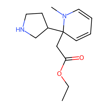 CCOC(=O)CC1(C2CCNC2)C=CC=CN1C